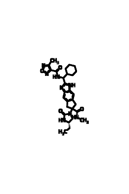 CC[C@H]1CN(C2(C(=O)NC)Cc3cc4nc([C@@H](NC(=O)c5nonc5C)C5CCCCC5)[nH]c4cc3C2)C(=O)N1